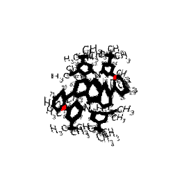 CC(C)(C)c1cc(N(c2cc(C(C)(C)C)cc(C(C)(C)C)c2)c2c3ccc(C4CCCCC4)cc3c(N(c3cc(C(C)(C)C)cc(C(C)(C)C)c3)c3cc(C(C)(C)C)cc(C(C)(C)C)c3)c3ccc(C4CCCCC4)cc23)cc(C(C)(C)C)c1